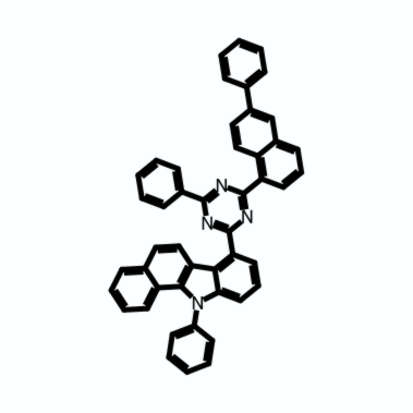 c1ccc(-c2ccc3c(-c4nc(-c5ccccc5)nc(-c5cccc6c5c5ccc7ccccc7c5n6-c5ccccc5)n4)cccc3c2)cc1